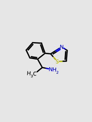 CC(N)c1ccccc1-c1nccs1